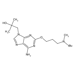 CN(CCCOc1nc(N)c2ncn(CC(C)(C)O)c2n1)C(C)(C)C